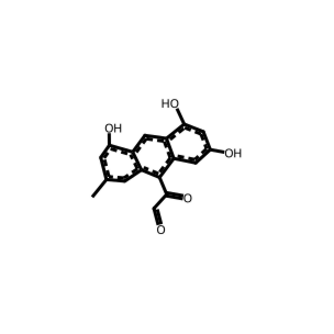 Cc1cc(O)c2cc3c(O)cc(O)cc3c(C(=O)C=O)c2c1